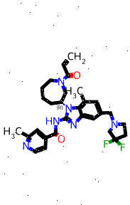 C=CC(=O)N1CCCC[C@@H](n2c(NC(=O)c3ccnc(C)c3)nc3cc(CN4CCC(F)(F)C4)cc(C)c32)C1